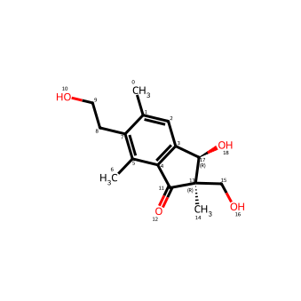 Cc1cc2c(c(C)c1CCO)C(=O)[C@](C)(CO)[C@@H]2O